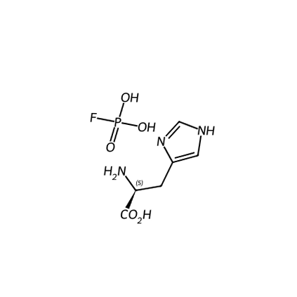 N[C@@H](Cc1c[nH]cn1)C(=O)O.O=P(O)(O)F